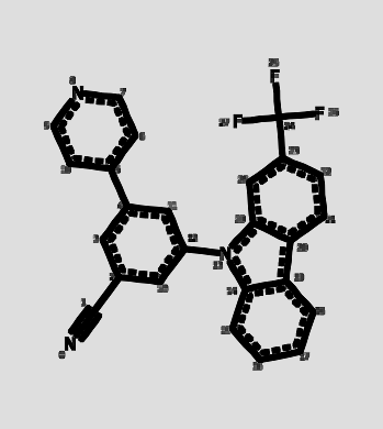 N#Cc1cc(-c2ccncc2)cc(-n2c3ccccc3c3ccc(C(F)(F)F)cc32)c1